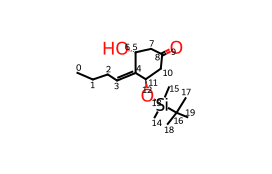 CCCC=C1[C@H](O)CC(=O)C[C@H]1O[Si](C)(C)C(C)(C)C